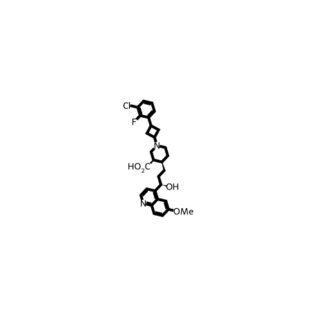 COc1ccc2nccc([C@@H](O)CC[C@@H]3CCN(C4CC(c5cccc(Cl)c5F)C4)C[C@@H]3C(=O)O)c2c1